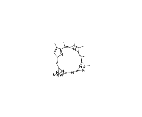 CC1=Cc2cc3nnc(nc4nc(c(C)c5c(C)c(C)c(c(C)c1n2)n5C)C(C)=N4)n3C.[Mg]